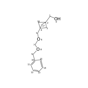 OCC12CC(COCOCc3ccccc3)(C1)C2